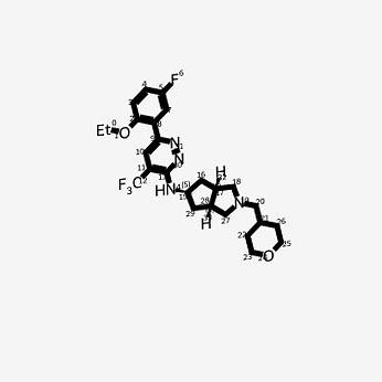 CCOc1ccc(F)cc1-c1cc(C(F)(F)F)c(N[C@H]2C[C@@H]3CN(CC4CCOCC4)C[C@@H]3C2)nn1